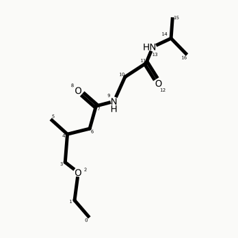 CCOCC(C)CC(=O)NCC(=O)NC(C)C